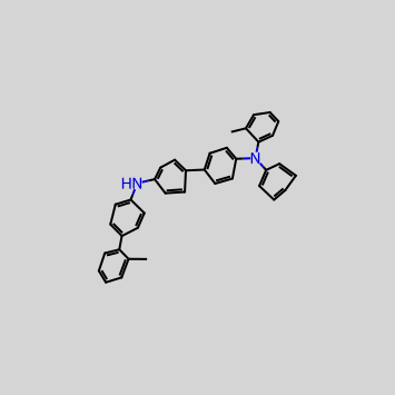 Cc1ccccc1-c1ccc(Nc2ccc(-c3ccc(N(c4ccccc4)c4ccccc4C)cc3)cc2)cc1